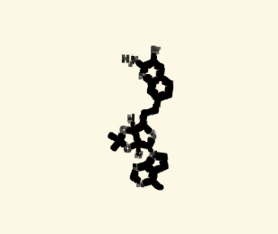 Cc1ncnc2c1ccn2[C@@H]1SC(CCc2ccc3cc(Br)c(N)nc3c2)[C@H]2OC(C)(C)O[C@H]21